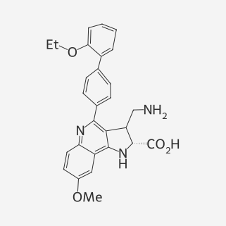 CCOc1ccccc1-c1ccc(-c2nc3ccc(OC)cc3c3c2C(CN)[C@H](C(=O)O)N3)cc1